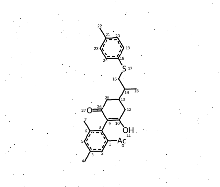 CC(=O)c1cc(C)cc(C)c1C1=C(O)CC(C(C)CSc2ccc(C)cc2)CC1=O